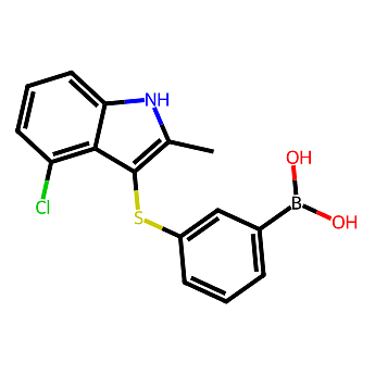 Cc1[nH]c2cccc(Cl)c2c1Sc1cccc(B(O)O)c1